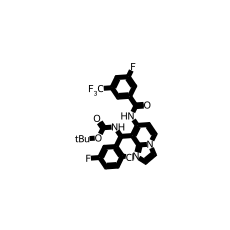 CC(C)(C)OC(=O)NC(c1cc(F)ccc1Cl)c1c(NC(=O)c2cc(F)cc(C(F)(F)F)c2)ccn2ccnc12